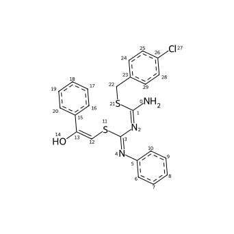 N/C(=N/C(=N\c1ccccc1)S/C=C(/O)c1ccccc1)SCc1ccc(Cl)cc1